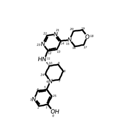 Oc1cncc(N2CCC[C@@H](Nc3cc(N4CCOCC4)ncn3)C2)c1